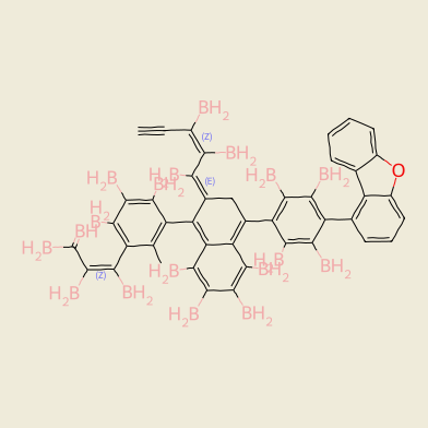 B=C(B)/C(B)=C(/B)c1c(B)c(B)c(B)c(C2=c3c(B)c(B)c(B)c(B)c3=C(c3c(B)c(B)c(-c4cccc5oc6ccccc6c45)c(B)c3B)C/C2=C(B)\C(B)=C(\B)C#C)c1C